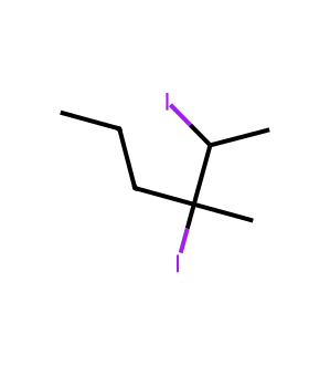 CCCC(C)(I)C(C)I